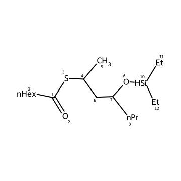 CCCCCCC(=O)SC(C)CC(CCC)O[SiH](CC)CC